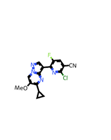 COc1cn2ncc(-c3nc(Cl)c(C#N)cc3F)c2nc1C1CC1